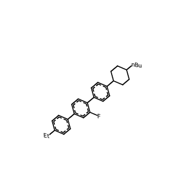 CCCCC1CCC(c2ccc(-c3ccc(-c4ccc(CC)cc4)cc3F)cc2)CC1